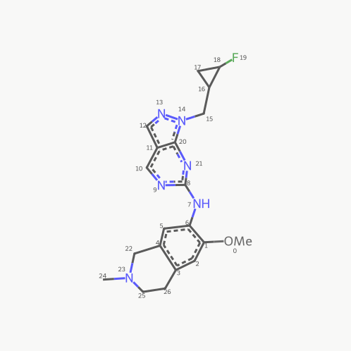 COc1cc2c(cc1Nc1ncc3cnn(CC4CC4F)c3n1)CN(C)CC2